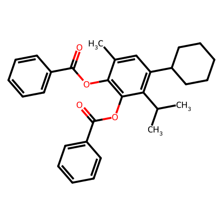 Cc1cc(C2CCCCC2)c(C(C)C)c(OC(=O)c2ccccc2)c1OC(=O)c1ccccc1